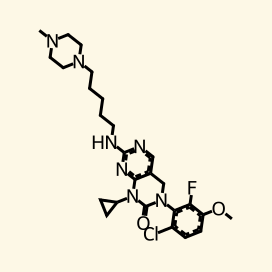 COc1ccc(Cl)c(N2Cc3cnc(NCCCCCN4CCN(C)CC4)nc3N(C3CC3)C2=O)c1F